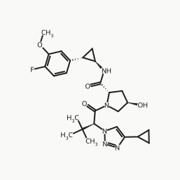 COc1cc([C@@H]2C[C@H]2NC(=O)[C@@H]2C[C@@H](O)CN2C(=O)[C@@H](n2cc(C3CC3)nn2)C(C)(C)C)ccc1F